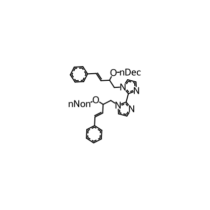 CCCCCCCCCCOC(C=Cc1ccccc1)Cn1ccnc1-c1nccn1CC(C=Cc1ccccc1)OCCCCCCCCC